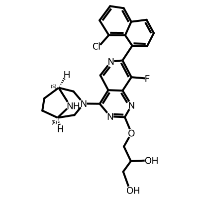 OCC(O)COc1nc(N2C[C@H]3CC[C@@H](C2)N3)c2cnc(-c3cccc4cccc(Cl)c34)c(F)c2n1